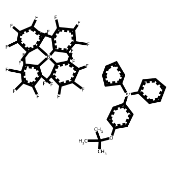 CC(C)(C)Oc1ccc([S+](c2ccccc2)c2ccccc2)cc1.Fc1c(F)c(F)c([B-](c2c(F)c(F)c(F)c(F)c2F)(c2c(F)c(F)c(F)c(F)c2F)c2c(F)c(F)c(F)c(F)c2F)c(F)c1F